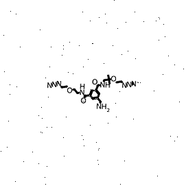 CC(C)(CNC(=O)c1cc(CN)cc(C(=O)NCCOCCN=[N+]=[N-])c1)OCCN=[N+]=[N-]